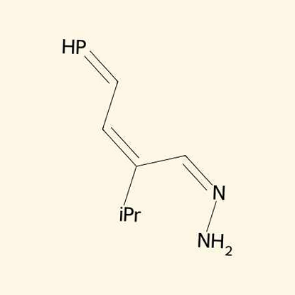 CC(C)C(/C=N\N)=C/C=P